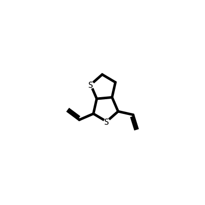 C=CC1SC(C=C)C2SCCC12